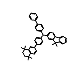 CC1(C)CCC(C)(C)c2cc(-c3ccc(N(c4ccc(-c5ccccc5)cc4)c4ccc5c(c4)C(C)(C)c4ccccc4-5)cc3)ccc21